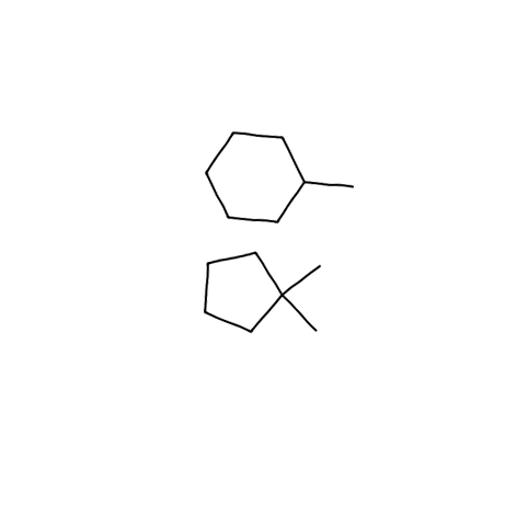 CC1(C)CCCC1.CC1CCCCC1